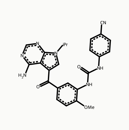 COc1ccc(C(=O)c2cn(C(C)C)c3ncnc(N)c23)cc1NC(=O)Nc1ccc(C#N)cc1